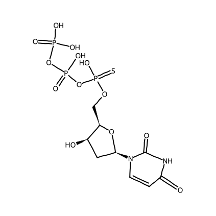 O=c1ccn([C@H]2C[C@@H](O)[C@@H](COP(O)(=S)OP(=O)(O)OP(=O)(O)O)O2)c(=O)[nH]1